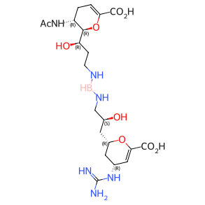 CC(=O)N[C@@H]1CC=C(C(=O)O)O[C@H]1[C@H](O)CCNBNC[C@@H](O)C[C@H]1C[C@@H](NC(=N)N)C=C(C(=O)O)O1